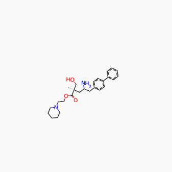 C[C@](CO)(CC(N)Cc1ccc(-c2ccccc2)cc1)C(=O)OCCN1CCCCC1